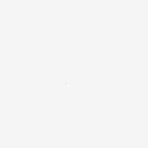 Cc1cccn2c(=O)c(C(=O)O)cc(F)c12